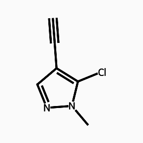 C#Cc1cnn(C)c1Cl